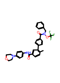 Cc1ccc(C(=O)Nc2ccc(N3CCOCC3)cc2)cc1-c1ccc(C(=O)N(Cc2ccccc2)OC(F)(F)F)cc1